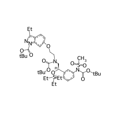 CCc1nn(C(=O)OC(C)(C)C)c2cc(OCCN(C[C@H](O[Si](CC)(CC)CC)c3cccc(N(C(=O)OC(C)(C)C)S(C)(=O)=O)c3)C(=O)OC(C)(C)C)ccc12